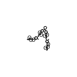 C=CC(=O)OCOc1ccc(C=CC(=O)Oc2ccc(C3(c4ccc(OC(=O)C=Cc5ccc(OCOC(=O)C=C)cc5C)cc4)CCCCC3)cc2)c(C)c1